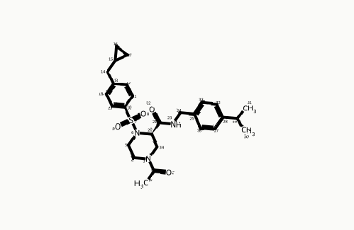 CC(=O)N1CCN(S(=O)(=O)c2ccc(CC3CC3)cc2)[C@@H](C(=O)NCc2ccc(C(C)C)cc2)C1